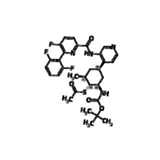 CC(=O)S[C@@H]1[C@@H](C)C[C@@H](c2ccncc2NC(=O)c2ccc(F)c(-c3c(F)cccc3F)n2)C[C@H]1NC(=O)OC(C)(C)C